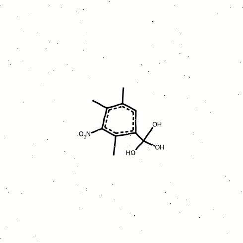 Cc1cc(C(O)(O)O)c(C)c([N+](=O)[O-])c1C